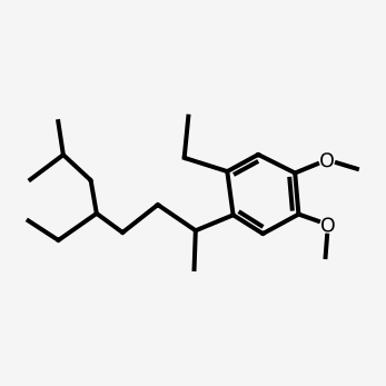 CCc1cc(OC)c(OC)cc1C(C)CCC(CC)CC(C)C